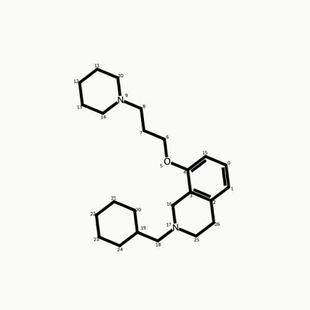 c1cc2c(c(OCCCN3CCCCC3)c1)CN(CC1CCCCC1)CC2